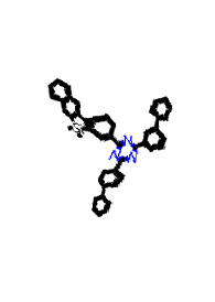 C[Si]1(C)c2cc(-c3nc(-c4ccc(-c5ccccc5)cc4)nc(-c4cccc(-c5ccccc5)c4)n3)ccc2-c2cc3ccccc3cc21